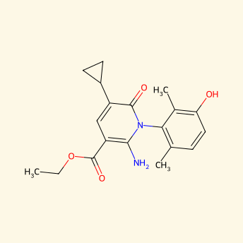 CCOC(=O)c1cc(C2CC2)c(=O)n(-c2c(C)ccc(O)c2C)c1N